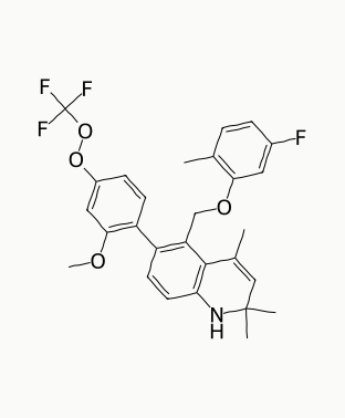 COc1cc(OOC(F)(F)F)ccc1-c1ccc2c(c1COc1cc(F)ccc1C)C(C)=CC(C)(C)N2